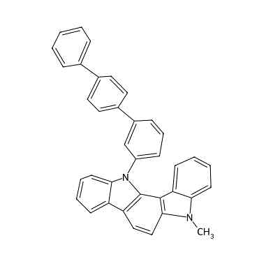 Cn1c2ccccc2c2c1ccc1c3ccccc3n(-c3cccc(-c4ccc(-c5ccccc5)cc4)c3)c12